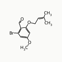 COc1cc(Br)c(C=O)c(OCC=C(C)C)c1